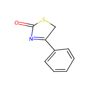 O=C1N=C(c2ccccc2)CS1